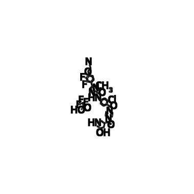 Cn1c(-c2ccc(OCC#N)c(F)c2F)cnc1C(=O)Nc1ccc(C(=O)N2CCN(C(=O)C3CNCC(O)C3)CC2)c(Cl)c1.O=C(O)C(F)(F)F